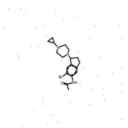 CC(=O)Nc1cc2c(cc1Br)C(N1CCN(C3CC3)CC1)CC2